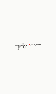 CCCCCCCCCCCCCCCC(=O)OCCN(CCCC)CCCC